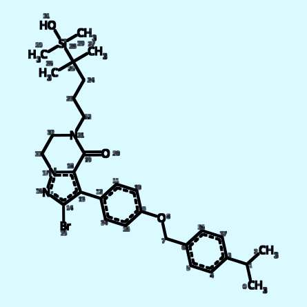 CC(C)c1ccc(COc2ccc(-c3c(Br)nn4c3C(=O)N(CCCC(C)(C)[Si](C)(C)O)CC4)cc2)cc1